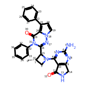 C[C@H]1CN(c2nc(N)nc3c2C(=O)NC3)C1c1nn2ccc(-c3ccccc3)c2c(=O)n1-c1ccccc1